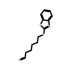 O=CCCCCCSc1nc2ccccc2s1